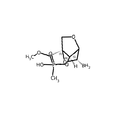 B[C@@H]1O[C@@]2(COC)COC1[C@H]2OP(C)(=O)O